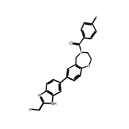 O=C(c1ccc(I)cc1)N1CCOc2ccc(-c3ccc4nc(CF)[nH]c4c3)cc2C1